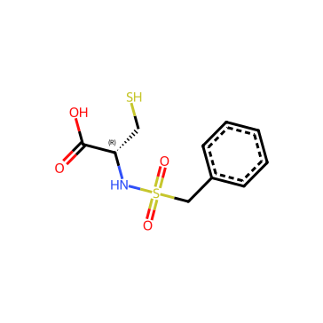 O=C(O)[C@H](CS)NS(=O)(=O)Cc1ccccc1